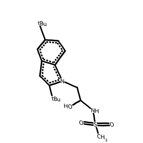 CC(C)(C)c1ccc2c(c1)cc(C(C)(C)C)n2CC(O)NS(C)(=O)=O